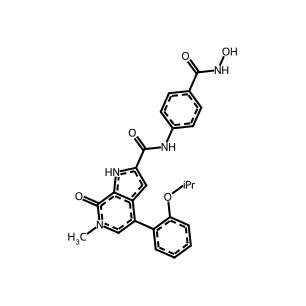 CC(C)Oc1ccccc1-c1cn(C)c(=O)c2[nH]c(C(=O)Nc3ccc(C(=O)NO)cc3)cc12